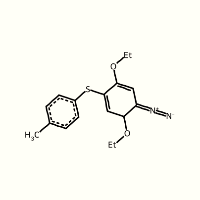 CCOC1=CC(=[N+]=[N-])C(OCC)C=C1Sc1ccc(C)cc1